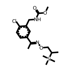 COC(=O)NCc1cc(C(C)=NOCC(C)[Si](C)(C)C)ccc1Cl